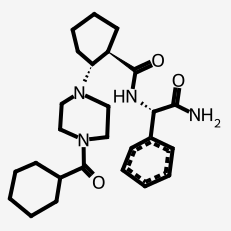 NC(=O)[C@@H](NC(=O)[C@@H]1CCCC[C@H]1N1CCN(C(=O)C2CCCCC2)CC1)c1ccccc1